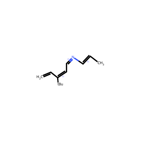 C=C\C(=C/C=N\C=C\C)C(C)(C)C